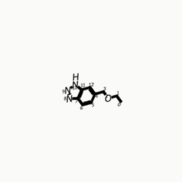 CCOCc1ccc2nn[nH]c2c1